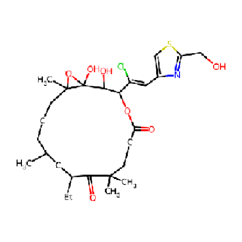 CCC1CC(C)CCCC2(C)OC2(O)C(O)C(C(Cl)=Cc2csc(CO)n2)OC(=O)CCC(C)(C)C1=O